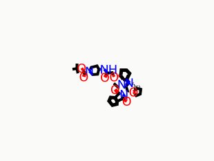 CC[n+]1c(CN2C(=O)c3ccccc3C2=O)n(C[C@@H]2CCCO2)c2cccc(OCC(=O)NC3CCN(C(=O)OC(C)(C)C)CC3)c21